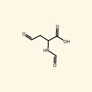 O=CCC(NC=O)C(=O)O